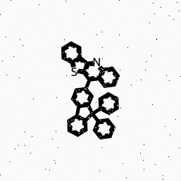 c1ccc(C2(c3ccccc3)c3ccccc3-c3ccc(-c4c5ccccc5nc5c4sc4ccccc45)cc32)cc1